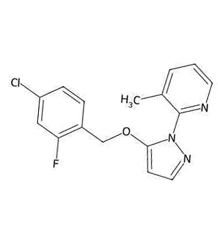 Cc1cccnc1-n1nccc1OCc1ccc(Cl)cc1F